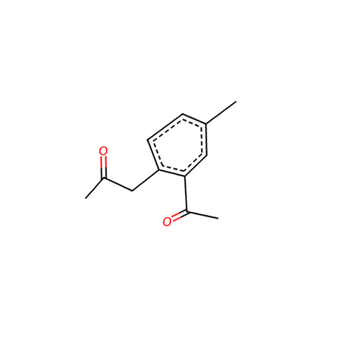 CC(=O)Cc1ccc(C)cc1C(C)=O